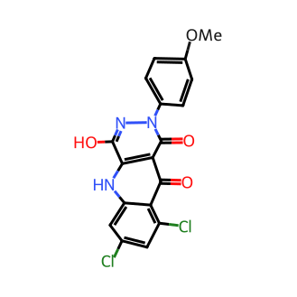 COc1ccc(-n2nc(O)c3[nH]c4cc(Cl)cc(Cl)c4c(=O)c3c2=O)cc1